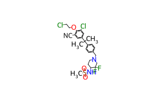 CC(C)(c1ccc(CN2CCC(NS(C)(=O)=O)C(F)(F)C2)cc1)c1cc(Cl)c(OCCCl)c(C#N)c1